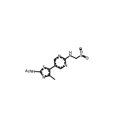 CC(=O)Nc1nc(C)c(-c2cnc(NC[SH](=O)=O)nc2)s1